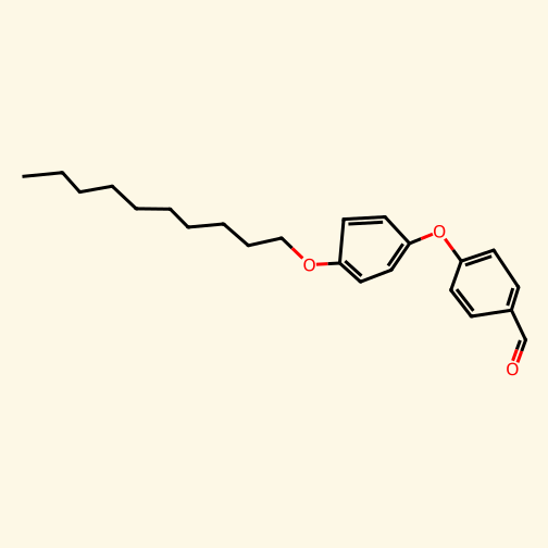 CCCCCCCCCCOc1ccc(Oc2ccc(C=O)cc2)cc1